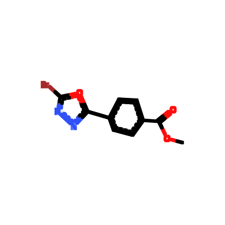 COC(=O)c1ccc(-c2nnc(Br)o2)cc1